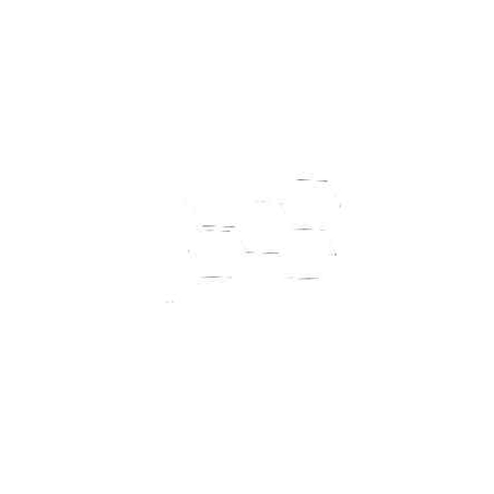 COc1cc(O)c(OC)c(C2CCCC3CCCC=C32)c1